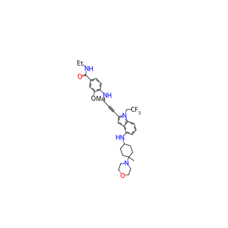 CCNC(=O)c1ccc(NCC#Cc2cc3c(NC4CCC(C)(N5CCOCC5)CC4)cccc3n2CC(F)(F)F)c(OC)c1